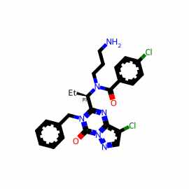 CC[C@H](c1nc2c(Cl)cnn2c(=O)n1Cc1ccccc1)N(CCCN)C(=O)c1ccc(Cl)cc1